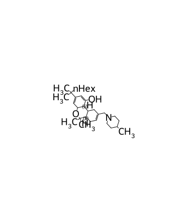 CCCCCCC(C)(C)C1=CC2OC(C)(C)[C@H]3CC=C(CN4CCC(C)CC4)CC3[C@@H]2C(O)=C1